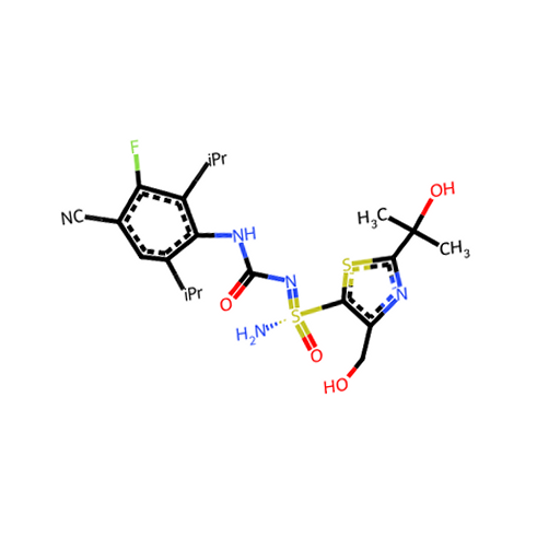 CC(C)c1cc(C#N)c(F)c(C(C)C)c1NC(=O)N=[S@](N)(=O)c1sc(C(C)(C)O)nc1CO